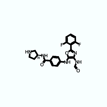 O=CNc1nc(-c2c(F)cccc2F)oc1Nc1ccc(C(=O)N[C@H]2CCNC2)cc1